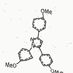 COc1ccc(-c2cc(-c3ccc(OC)cc3)n(-c3ccc(OC)cc3)n2)cc1